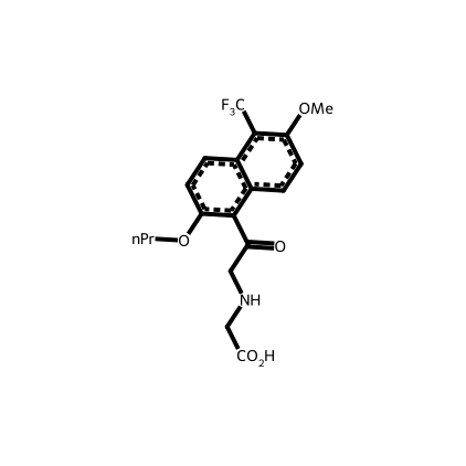 CCCOc1ccc2c(C(F)(F)F)c(OC)ccc2c1C(=O)CNCC(=O)O